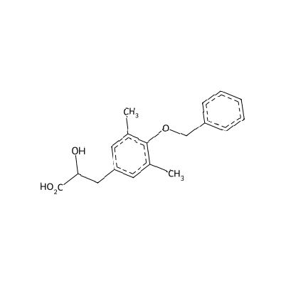 Cc1cc(CC(O)C(=O)O)cc(C)c1OCc1ccccc1